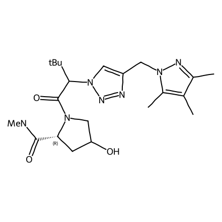 CNC(=O)[C@H]1CC(O)CN1C(=O)C(n1cc(Cn2nc(C)c(C)c2C)nn1)C(C)(C)C